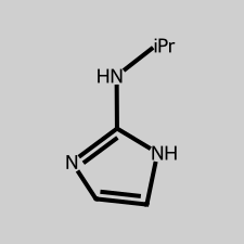 CC(C)Nc1ncc[nH]1